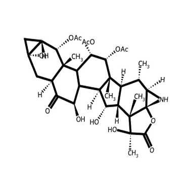 CC(=O)O[C@H]1C2C([C@@H]3[C@@H](O)[C@@H]4[C@H]([C@H](C)[C@H]5N[C@]56OC(=O)[C@@](C)(O)[C@]46C)[C@@]3(C)[C@H]1OC(C)=O)[C@@H](O)C(=O)[C@H]1C[C@@]3(O)C[C@@H]3[C@H](OC(C)=O)[C@]21C